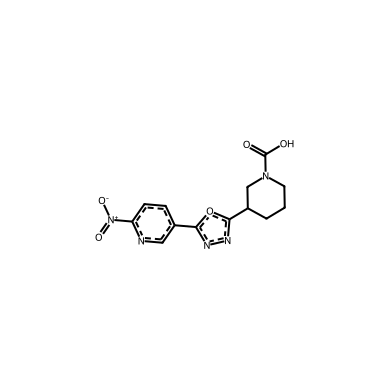 O=C(O)N1CCCC(c2nnc(-c3ccc([N+](=O)[O-])nc3)o2)C1